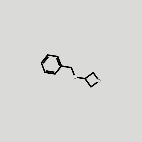 [c]1ccccc1COC1COC1